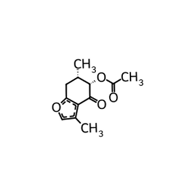 CC(=O)O[C@@H]1C(=O)c2c(C)coc2C[C@@H]1C